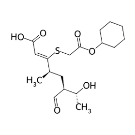 C[C@H](C[C@H](C=O)[C@@H](C)O)/C(=C/C(=O)O)SCC(=O)OC1CCCCC1